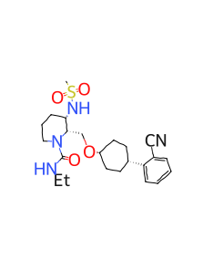 CCNC(=O)N1CCC[C@H](NS(C)(=O)=O)[C@@H]1CO[C@H]1CC[C@@H](c2ccccc2C#N)CC1